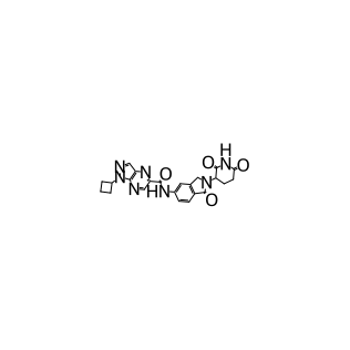 O=C1CCC(N2Cc3cc(NC(=O)c4cnc5c(cnn5C5CCC5)n4)ccc3C2=O)C(=O)N1